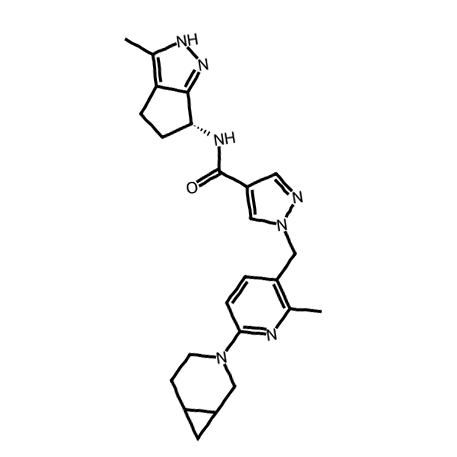 Cc1nc(N2CCC3CC3C2)ccc1Cn1cc(C(=O)N[C@@H]2CCc3c2n[nH]c3C)cn1